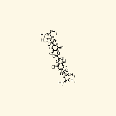 CN(C)CN(C)S(=O)(=O)c1cc(Cl)c(OC(=O)C(=O)Oc2c(Cl)cc(S(=O)(=O)N(C)CN(C)C)cc2Cl)c(Cl)c1